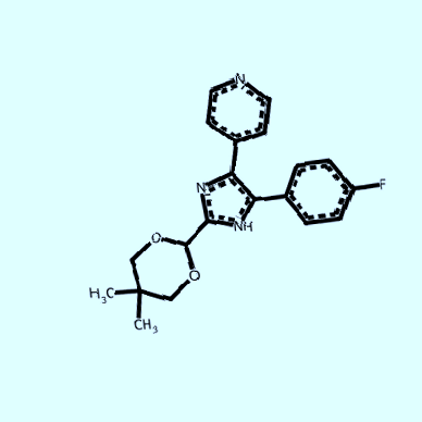 CC1(C)COC(c2nc(-c3ccncc3)c(-c3ccc(F)cc3)[nH]2)OC1